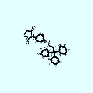 O=C1CSC(=O)N1c1ccc(OCCC(c2ccccc2)(c2ccccc2)c2ccccc2)cc1